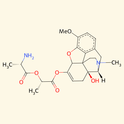 COc1ccc2c3c1OC1C(OC(=O)[C@H](C)OC(=O)[C@H](C)N)=CC[C@@]4(O)[C@@H](C2)N(C)CCC314